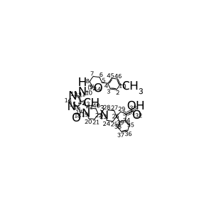 Cc1ccc(C2CCC[C@@H](CNc3ncnc(C(=O)N4CCC(N5CCC6(CC5)CC(C(=O)O)c5ccccc56)CC4)c3C)O2)cc1